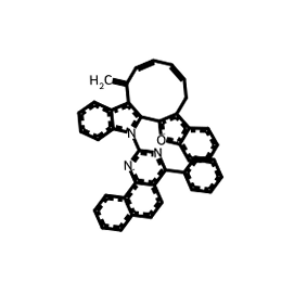 C=C1/C=C\C=C/Cc2c(oc3ccccc23)-c2c1c1ccccc1n2-c1nc(-c2ccccc2)c2ccc3ccccc3c2n1